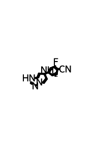 N#Cc1ccc(C2(N)C=CN3N=CNC3=C2)cc1F